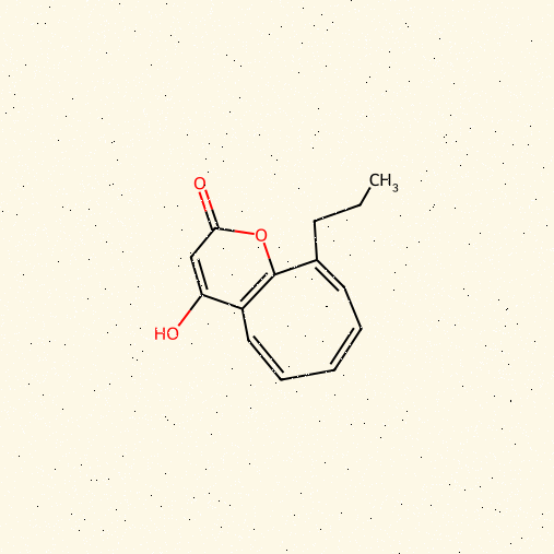 CCCC1=CC=CC=Cc2c(O)cc(=O)oc21